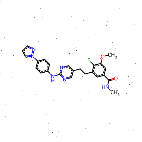 CNC(=O)c1cc(CCc2cnc(Nc3ccc(-n4cccn4)cc3)nc2)c(F)c(OC)c1